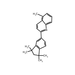 Cc1cccc2nc(-c3ccc4c(c3)C(C)(C)CC4(C)C)ccc12